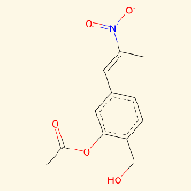 CC(=O)Oc1cc(/C=C(\C)[N+](=O)[O-])ccc1CO